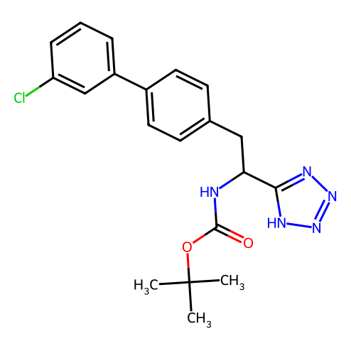 CC(C)(C)OC(=O)NC(Cc1ccc(-c2cccc(Cl)c2)cc1)c1nnn[nH]1